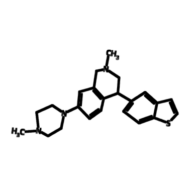 CN1CCN(c2ccc3c(c2)CN(C)CC3c2ccc3sccc3c2)CC1